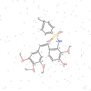 COc1cc(/C=C\c2ccc(O)c(OC)c2NS(=O)(=O)c2ccc(C)cc2)cc(OC)c1OC